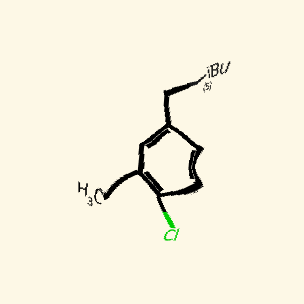 CC[C@H](C)Cc1ccc(Cl)c(C)c1